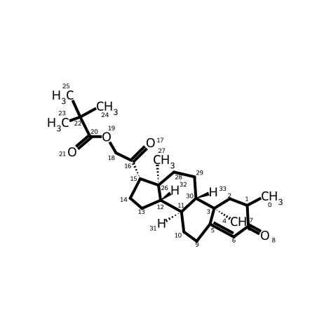 CC1C[C@@]2(C)C(=CC1=O)CC[C@H]1[C@@H]3CC[C@H](C(=O)COC(=O)C(C)(C)C)[C@@]3(C)CC[C@@H]12